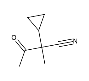 CC(=O)C(C)(C#N)C1CC1